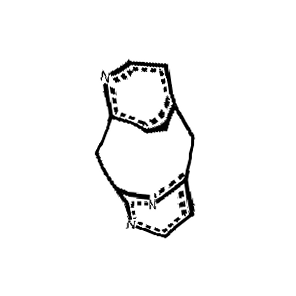 c1cc2cc(n1)Cc1nccc(n1)C2